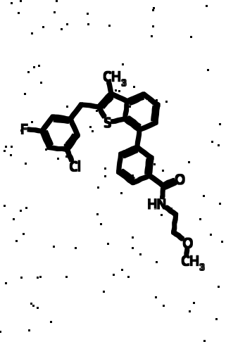 COCCNC(=O)c1cccc(-c2cccc3c(C)c(Cc4cc(F)cc(Cl)c4)sc23)c1